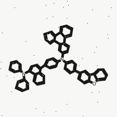 c1ccc(N(c2ccccc2)c2ccc(-c3ccc(N(c4ccc(-c5ccc6oc7ccccc7c6c5)cc4)c4ccc5c6ccccc6c6ccccc6c5c4)cc3)c3ccccc23)cc1